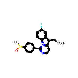 C[S+]([O-])c1ccc(-c2nccc3c(CC(=O)O)c4cc(F)ccc4n23)cc1